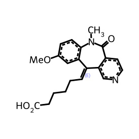 COc1ccc2c(c1)/C(=C\CCCCC(=O)O)c1cnccc1C(=O)N2C